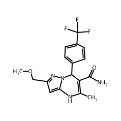 COCc1cc2n(n1)C(c1ccc(C(F)(F)F)cc1)C(C(N)=O)=C(C)N2